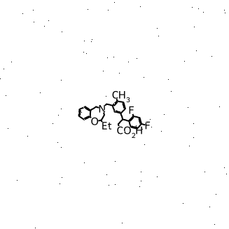 CCC1CN(Cc2cc(C(CC(=O)O)c3ccc(F)cc3F)ccc2C)Cc2ccccc2O1